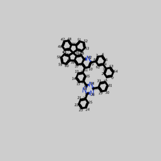 c1ccc(-c2cccc(-c3cc(-c4cccc(-c5nc(-c6ccccc6)nc(-c6ccccc6)n5)c4)c4cc5c(cc4n3)C3(c4ccccc4-c4ccccc43)c3ccccc3-5)c2)cc1